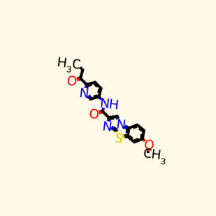 CCC(=O)c1ccc(NC(=O)c2cn3c(n2)sc2cc(OC)ccc23)cn1